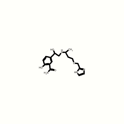 CC(CCOCc1ncc[nH]1)NCC(O)c1ccc(O)c(C(N)=O)c1